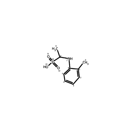 Cc1ccccc1NC(C)S(=O)(=O)O